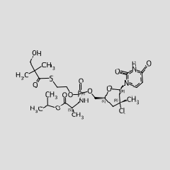 CC(C)OC(=O)[C@H](C)N[P@](=O)(OCCSC(=O)C(C)(C)CO)OC[C@@H]1C[C@@](C)(Cl)[C@H](n2ccc(=O)[nH]c2=O)O1